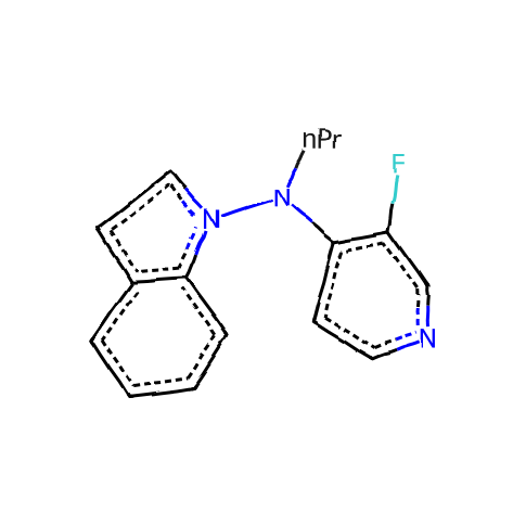 CCCN(c1ccncc1F)n1ccc2ccccc21